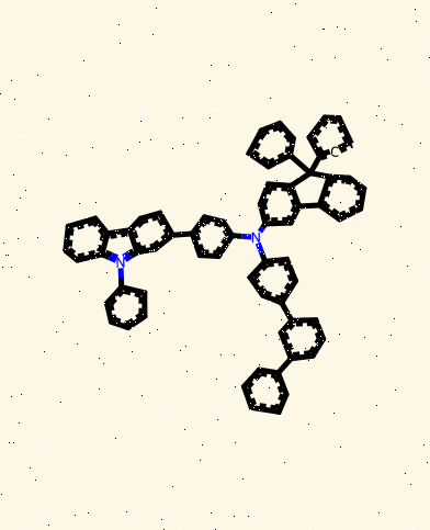 c1ccc(-c2cccc(-c3ccc(N(c4ccc(-c5ccc6c7ccccc7n(-c7ccccc7)c6c5)cc4)c4ccc5c(c4)-c4ccccc4C5(c4ccccc4)c4ccccc4)cc3)c2)cc1